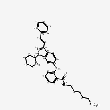 O=C(O)CCCCCNC(=O)c1ccccc1Sc1ccc2c(C=Cc3ccccn3)nn(C3CCCCO3)c2c1